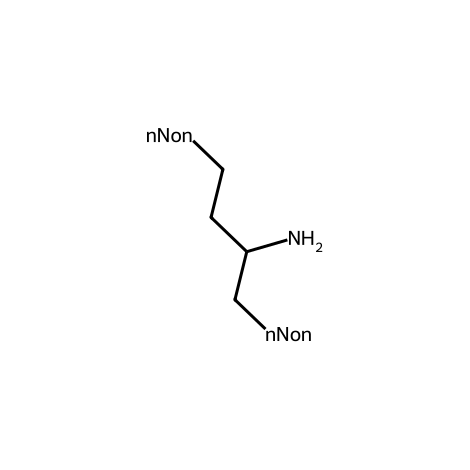 CCCCCCCCCCCC(N)CCCCCCCCCC